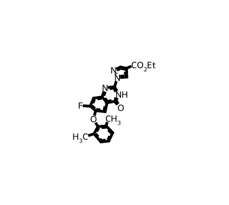 CCOC(=O)c1cnn(-c2nc3cc(F)c(Oc4c(C)cccc4C)cc3c(=O)[nH]2)c1